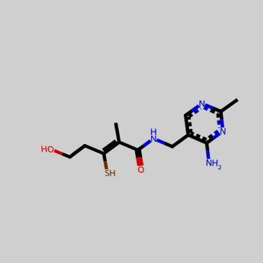 C/C(C(=O)NCc1cnc(C)nc1N)=C(/S)CCO